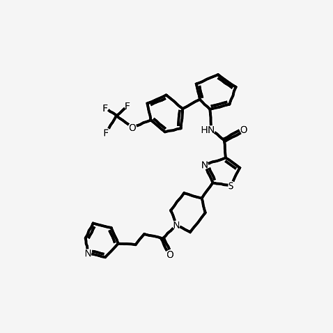 O=C(Nc1ccccc1-c1ccc(OC(F)(F)F)cc1)c1csc(C2CCN(C(=O)CCc3cccnc3)CC2)n1